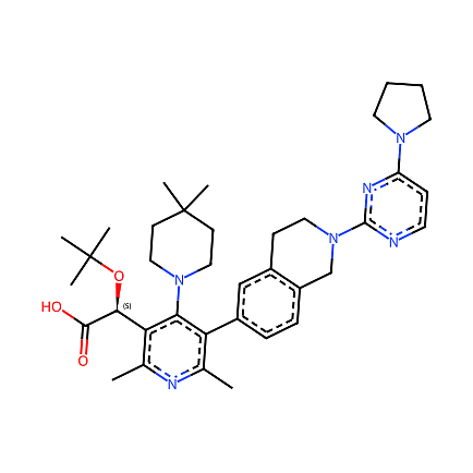 Cc1nc(C)c([C@H](OC(C)(C)C)C(=O)O)c(N2CCC(C)(C)CC2)c1-c1ccc2c(c1)CCN(c1nccc(N3CCCC3)n1)C2